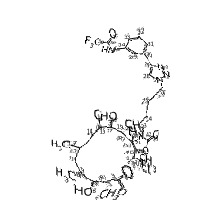 CC[C@H]1OC(=O)[C@H](C)[C@@H](O)[C@H](C)CC(C)C[C@@H](C)C(=O)[C@H](C)[C@@H]2N(CCCCn3cc(-c4cccc(NC(=O)C(F)(F)F)c4)nn3)C(=O)O[C@@]21C